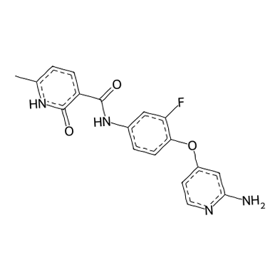 Cc1ccc(C(=O)Nc2ccc(Oc3ccnc(N)c3)c(F)c2)c(=O)[nH]1